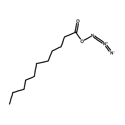 CCCCCCCCCCC(=O)ON=[N+]=[N-]